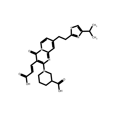 CC(C)c1csc(CCc2ccn3c(=O)c(/C=C/C(=O)O)c(N4CCCC(C(=O)O)C4)nc3c2)n1